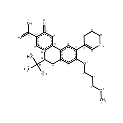 COCCCOc1cc2c(cc1C1=COCCC1)-c1cc(=O)c(C(=O)O)cn1C(C(C)(C)C)C2